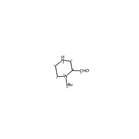 CC(C)(C)N1CCNCC1[C]=O